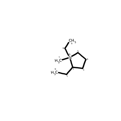 CCC1CCC[Si]1(C)CC